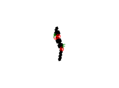 CCCCCCCCOc1ccc(-c2ccc(C(=O)Oc3ccc(CCC)cc3F)cc2)cc1F